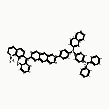 CN1CC=Cc2ccc3c(c21)NC1C=CC=CC1=C3c1ccc2cc3cc(-c4ccc(N(c5ccc(N(c6ccccc6)c6ccccc6)cc5)c5ccc6ccccc6c5)cc4)ccc3cc2c1